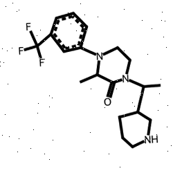 CC(C1CCCNC1)N1CCN(c2cccc(C(F)(F)F)c2)C(C)C1=O